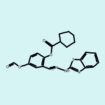 O=COc1ccc(OC(=O)C2CCCCC2)c(/C=N/Nc2nc3ccccc3s2)c1